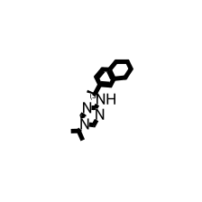 CC(C)N1C=NC(N[C@@H](C)c2ccc3c(c2)CCCC3)=NC1